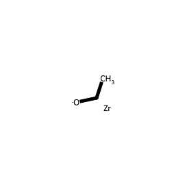 CC[O].[Zr]